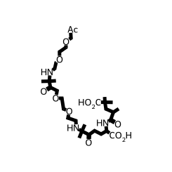 CC(=O)COCCOCCNC(C)(C)C(=O)COCCOCCNC(C)(C)C(=O)CCC(NC(=O)C(C)CC(C)(C)C(=O)O)C(=O)O